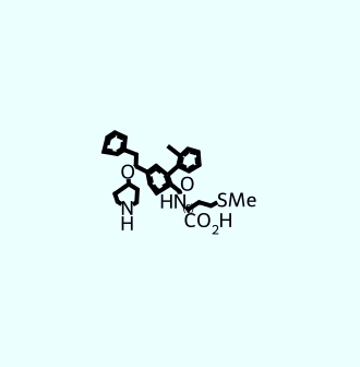 CSCC[C@H](NC(=O)c1ccc(C(Cc2ccccc2)OC2CCNCC2)cc1-c1ccccc1C)C(=O)O